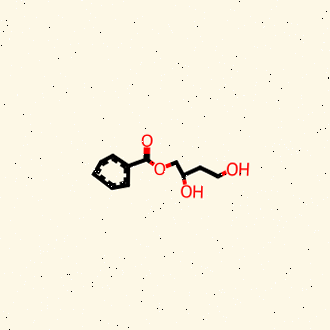 O=C(OCC(O)CCO)c1ccccc1